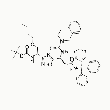 CCCCOC[C@H](NC(=O)OC(C)(C)C)c1noc([C@H](CC(=O)NC(c2ccccc2)(c2ccccc2)c2ccccc2)NC(=O)N(CC)Cc2ccccc2)n1